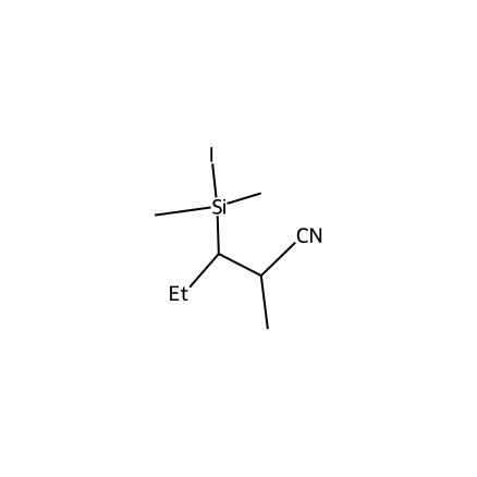 CCC(C(C)C#N)[Si](C)(C)I